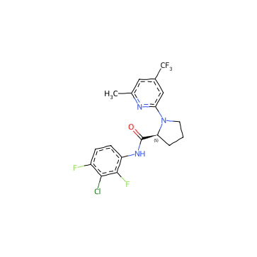 Cc1cc(C(F)(F)F)cc(N2CCC[C@H]2C(=O)Nc2ccc(F)c(Cl)c2F)n1